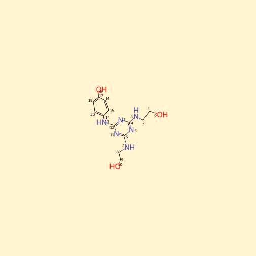 OCCNc1nc(NCCO)nc(Nc2ccc(O)cc2)n1